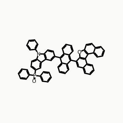 O=P(c1ccccc1)(c1ccccc1)c1ccc2c(c1)c1cc(-c3c4ccccc4c(-c4cc5ccccc5c5c4oc4ccc6ccccc6c45)c4ccccc34)ccc1n2-c1ccccc1